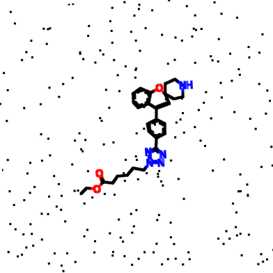 CCOC(=O)CCCCCn1nnc(-c2ccc(C3=CC4(CCNCC4)Oc4ccccc43)cc2)n1